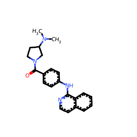 CN(C)C1CCN(C(=O)c2ccc(Nc3nccc4ccccc34)cc2)C1